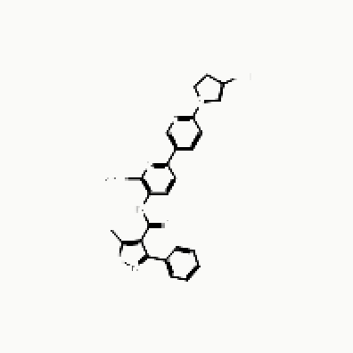 COc1nc(-c2ccc(N3CCC(O)C3)nc2)ccc1NC(=O)c1c(-c2ccccc2)noc1C